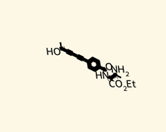 CCOC(=O)[C@@H](NC(=O)c1ccc(C#CC#C[C@H](C)O)cc1)[C@H](C)N